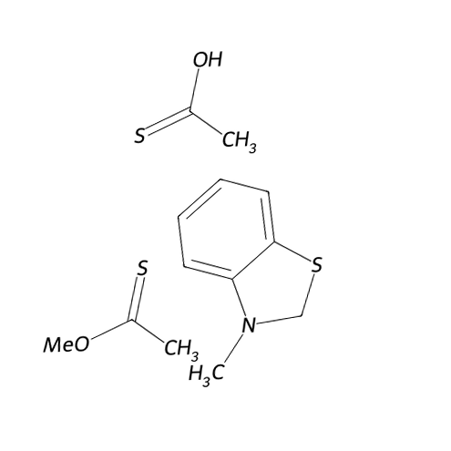 CC(O)=S.CN1CSc2ccccc21.COC(C)=S